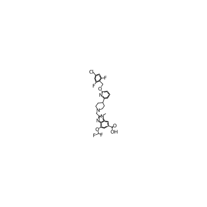 Cn1c(CN2CCC(c3cccc(OCc4c(F)cc(Cl)cc4F)n3)CC2)nc2c(OC(F)F)cc(C(=O)O)cc21